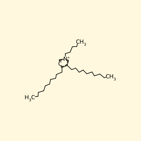 CCCCCCCCCCc1cc[n+](CCCCC)cc1CCCCCCCCCC